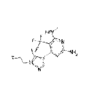 CNc1nc(N)nc(-c2cnn(CCF)c2C)c1C(F)(F)F